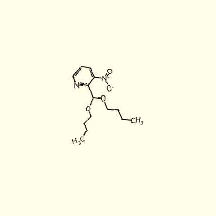 CCCCOC(OCCCC)c1ncccc1[N+](=O)[O-]